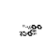 O=C(Nc1cc(-c2ccccc2)ccc1C(=O)O)c1cc(N2CCS(=O)(=O)CC2)ccc1O